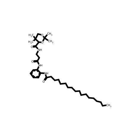 CCCCCCCCCCCCCCCCCC(=O)Nc1ccccc1NC(=O)CCNC(=O)C1OC(C)(C)OCC1(C)C